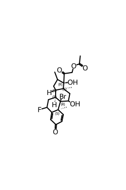 CC(=O)OCC(=O)[C@@]1(O)C(C)C[C@H]2[C@@H]3CC(F)C4=CC(=O)C=C[C@]4(C)[C@@]3(Br)C(O)C[C@@]21C